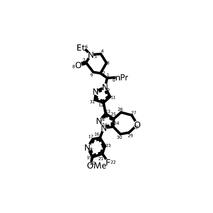 CCCC(C1CCN(CC)C(=O)C1)n1cc(-c2nn(-c3cnc(OC)c(F)c3)c3c2CCOCC3)cn1